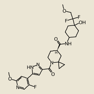 COCC(F)(F)C1(O)CCC(NC(=O)[C@@H]2CCN(C(=O)c3cc(-c4cc(OC)ncc4F)[nH]n3)C3(CC3)C2)CC1